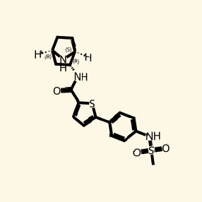 CS(=O)(=O)Nc1ccc(-c2ccc(C(=O)N[C@@H]3C[C@H]4CC[C@@H]3N4)s2)cc1